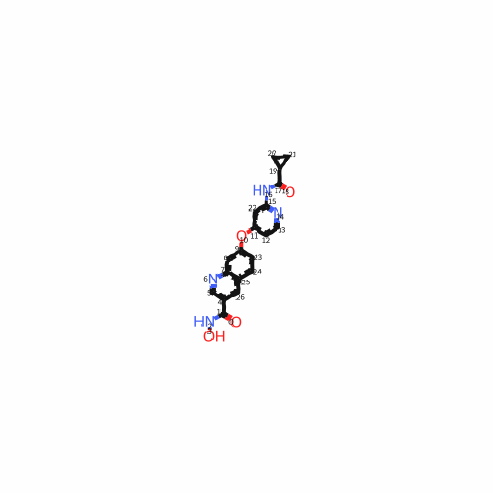 O=C(NO)c1cnc2cc(Oc3ccnc(NC(=O)C4CC4)c3)ccc2c1